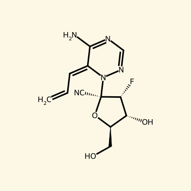 C=C/C=C1/C(N)=NC=NN1[C@]1(C#N)O[C@H](CO)[C@@H](O)[C@H]1F